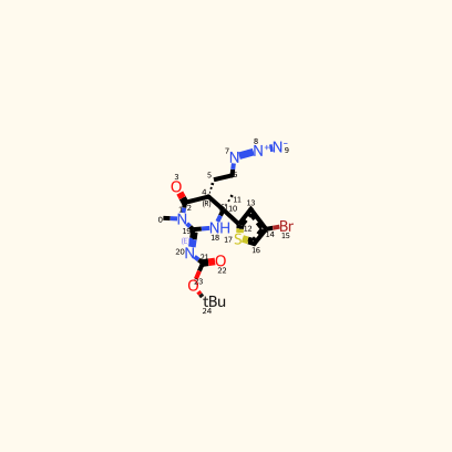 CN1C(=O)[C@H](CCN=[N+]=[N-])[C@@](C)(c2cc(Br)cs2)N/C1=N\C(=O)OC(C)(C)C